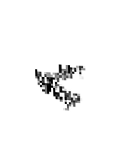 Nc1nc(F)nc2c1nc(Cc1cc3c(cc1I)CCC3=O)n2CCCCNC1CC1